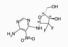 Nc1ncnc(N[C@@H]2O[C@H](CO)[C@@H](O)C2(F)F)c1[N+](=O)[O-]